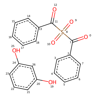 O=C(c1ccccc1)S(=O)(=O)C(=O)c1ccccc1.Oc1cccc(O)c1